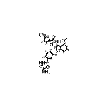 COc1cccc2c1c(NS(=O)(=O)c1ccc(Cl)s1)nn2Cc1cccc(CN[C@H](C)C(N)=O)c1